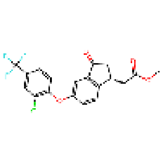 COC(=O)C[C@@H]1CC(=O)c2cc(Oc3ccc(C(F)(F)F)cc3Cl)ccc21